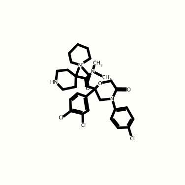 CN(C)C(=O)C1([N+]2(CCC3(c4ccc(Cl)c(Cl)c4)CN(c4ccc(Cl)cc4)C(=O)CO3)CCCCC2)CCNCC1